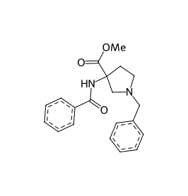 COC(=O)C1(NC(=O)c2ccccc2)CCN(Cc2ccccc2)C1